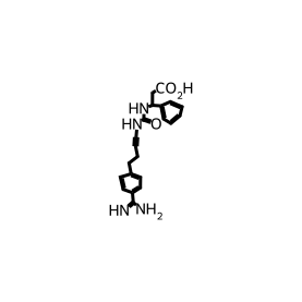 N=C(N)c1ccc(CCC#CNC(=O)NC(CC(=O)O)c2ccccc2)cc1